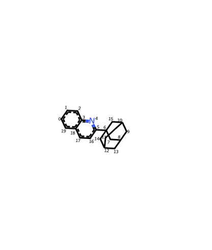 c1ccc2nc(C34CC5CC(CC(C5)C3)C4)ccc2c1